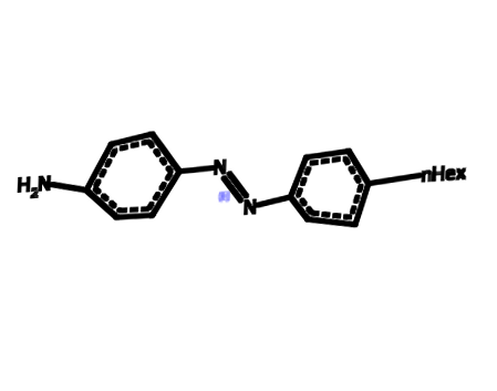 CCCCCCc1ccc(/N=N/c2ccc(N)cc2)cc1